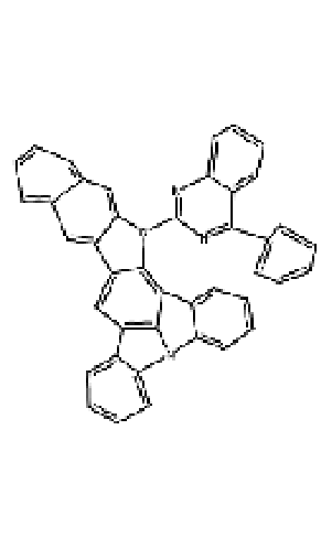 c1ccc(-c2nc(-n3c4cc5ccccc5cc4c4cc5c6ccccc6n6c7ccccc7c(c43)c56)nc3ccccc23)cc1